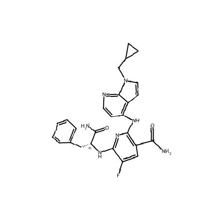 NC(=O)c1cc(F)c(N[C@H](Cc2ccccc2)C(N)=O)nc1Nc1ccnc2c1ccn2CC1CC1